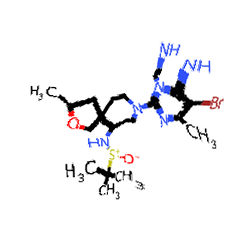 Cc1nc(N2CCC3(CO[C@@H](C)C3)C(N[S@+]([O-])C(C)(C)C)C2)n(C=N)c(=N)c1Br